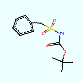 CC(C)(C)OC(=O)NS(=O)(=O)Cc1ccccc1